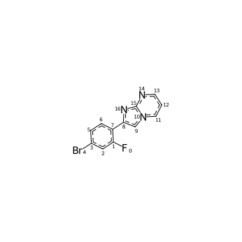 Fc1cc(Br)ccc1-c1cn2cccnc2n1